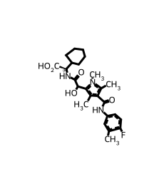 Cc1cc(NC(=O)c2c(C)c(C(O)C(=O)N[C@@H](C(=O)O)C3CCCCC3)n(C)c2C)ccc1F